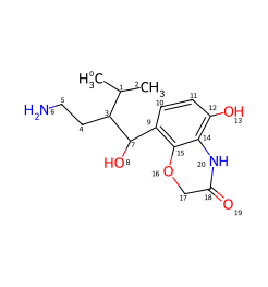 CC(C)C(CCN)C(O)c1ccc(O)c2c1OCC(=O)N2